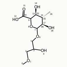 COCC(O)COC1OC(C(=O)O)[C@@H](O)[C@H](C)[C@H]1O